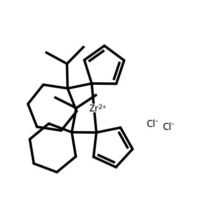 CC(C)C1([C]2([Zr+2][C]3(C4(C(C)C)CCCCC4)C=CC=C3)C=CC=C2)CCCCC1.[Cl-].[Cl-]